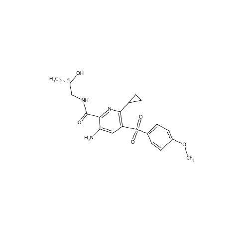 C[C@H](O)CNC(=O)c1nc(C2CC2)c(S(=O)(=O)c2ccc(OC(F)(F)F)cc2)cc1N